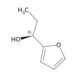 CC[C@H](O)c1ccco1